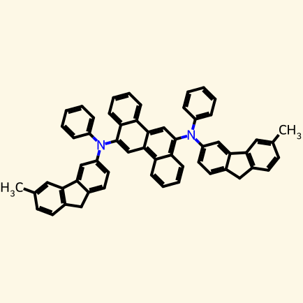 Cc1ccc2c(c1)-c1cc(N(c3ccccc3)c3cc4c5ccccc5c(N(c5ccccc5)c5ccc6c(c5)-c5cc(C)ccc5C6)cc4c4ccccc34)ccc1C2